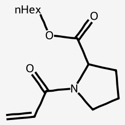 C=CC(=O)N1CCCC1C(=O)OCCCCCC